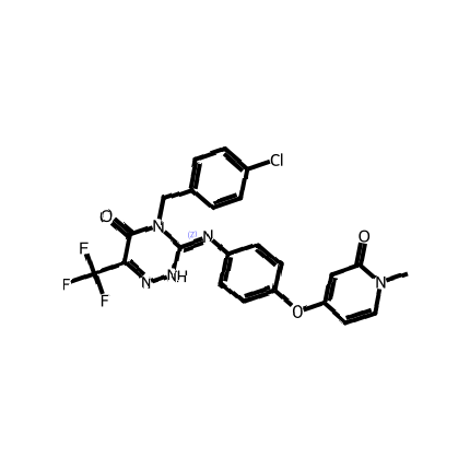 Cn1ccc(Oc2ccc(/N=c3\[nH]nc(C(F)(F)F)c(=O)n3Cc3ccc(Cl)cc3)cc2)cc1=O